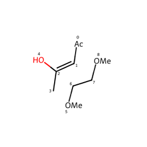 CC(=O)/C=C(/C)O.COCCOC